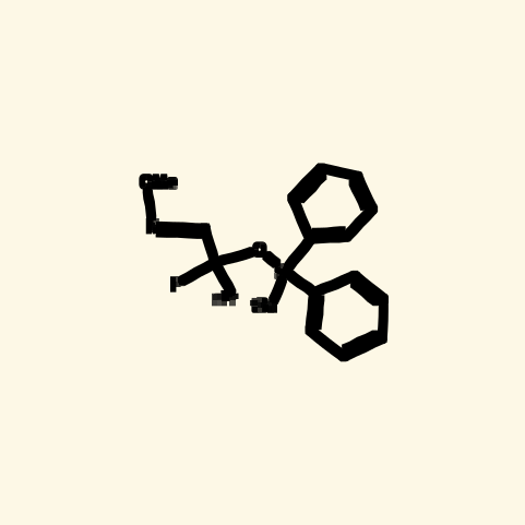 CCCC(F)(C=NOC)O[Si](c1ccccc1)(c1ccccc1)C(C)(C)C